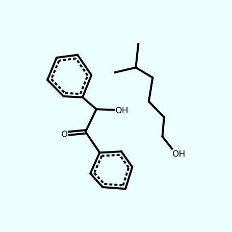 CC(C)CCCCO.O=C(c1ccccc1)C(O)c1ccccc1